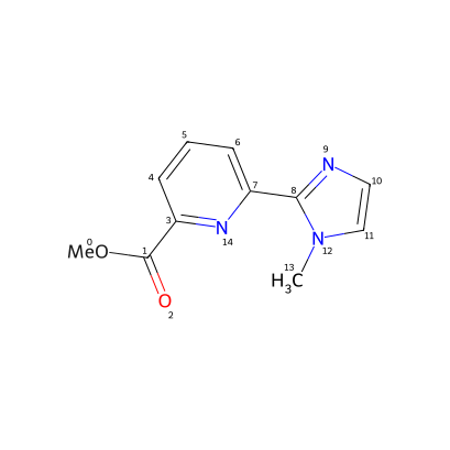 COC(=O)c1cccc(-c2nccn2C)n1